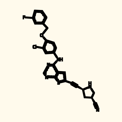 N#C[C@@H]1CN[C@H](C#Cc2cc3c(Nc4ccc(OCc5cccc(F)c5)c(Cl)c4)ncnc3s2)C1